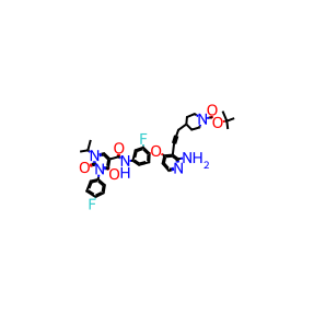 CC(C)n1cc(C(=O)Nc2ccc(Oc3ccnc(N)c3C#CCC3CCN(C(=O)OC(C)(C)C)CC3)c(F)c2)c(=O)n(-c2ccc(F)cc2)c1=O